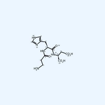 NCCC(=O)N[C@@H](Cc1c[nH]cn1)C(=O)N[C@@H](CC(=O)O)C(=O)O